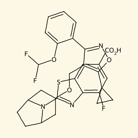 O=C(O)c1cc(F)c2nc(N3C4CCC3CC(OCc3c(-c5ccccc5OC(F)F)noc3C3CC3)C4)sc2c1